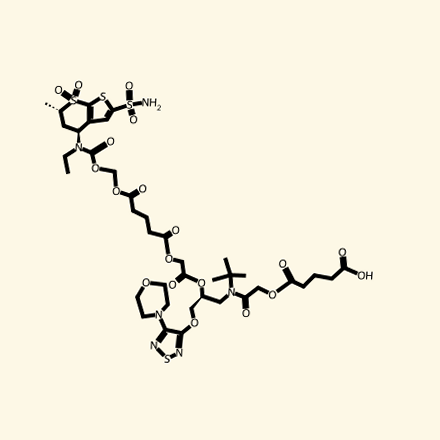 CCN(C(=O)OCOC(=O)CCCC(=O)OCC(=O)O[C@H](COc1nsnc1N1CCOCC1)CN(C(=O)COC(=O)CCCC(=O)O)C(C)(C)C)[C@H]1C[C@H](C)S(=O)(=O)c2sc(S(N)(=O)=O)cc21